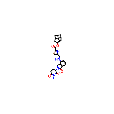 O=C1CCC(N2Cc3c(NCc4csc(C(=O)OC56CC7CC8CC(C5)C87C6)n4)cccc3C2=O)C(=O)N1